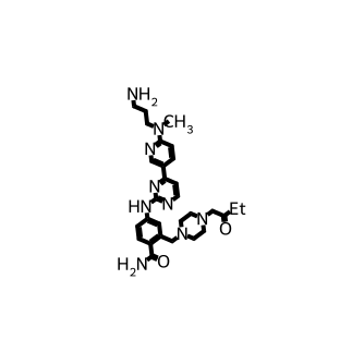 CCC(=O)CN1CCN(Cc2cc(Nc3nccc(-c4ccc(N(C)CCCN)nc4)n3)ccc2C(N)=O)CC1